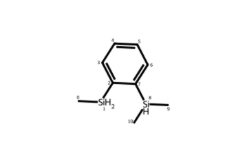 C[SiH2]c1ccccc1[SiH](C)C